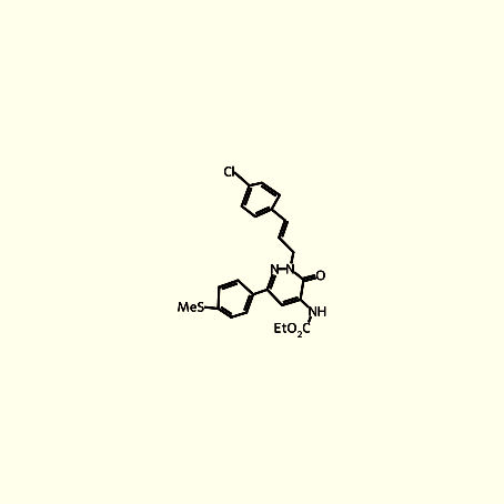 CCOC(=O)Nc1cc(-c2ccc(SC)cc2)nn(CC=Cc2ccc(Cl)cc2)c1=O